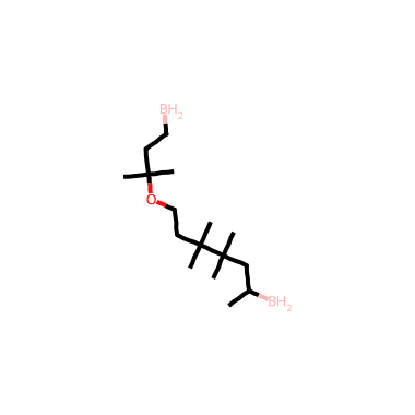 BCCC(C)(C)OCCC(C)(C)C(C)(C)CC(B)C